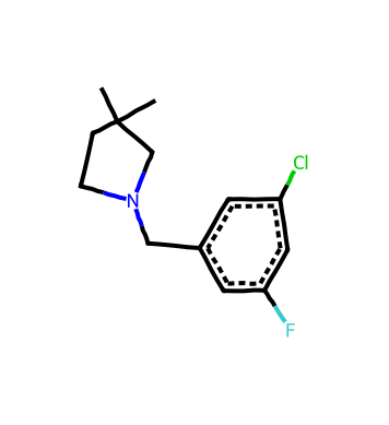 CC1(C)CCN(Cc2cc(F)cc(Cl)c2)C1